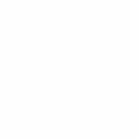 c1ccc2c(c1)CCC21Cc2ncncc2CO1